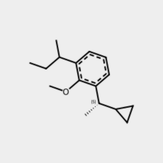 CCC(C)c1cccc([C@@H](C)C2CC2)c1OC